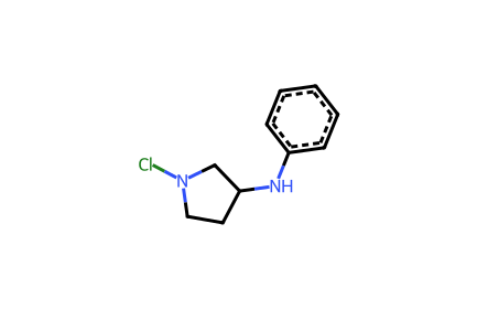 ClN1CCC(Nc2ccccc2)C1